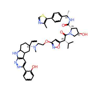 C=C[C@]1(N(C)CCOc2cc([C@H](C(=O)N3C[C@H](O)C[C@H]3C(=O)N[C@@H](C)c3ccc(-c4scnc4C)cc3)C(C)C)on2)CCC2Nc3nnc(-c4ccccc4O)cc3C2C1